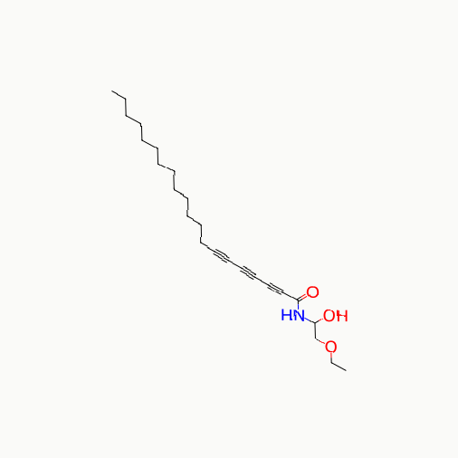 CCCCCCCCCCCCCC#CC#CC#CC(=O)NC(O)COCC